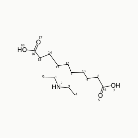 CCNCC.O=C(O)CCCCCCCCC(=O)O